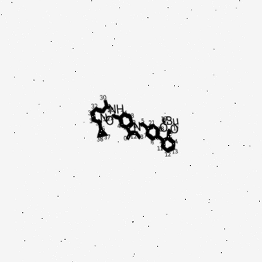 Cc1c(C)n(Cc2ccc(-c3ccccc3C(=O)OC(C)(C)C)cc2)c2ccc(C(=O)NC(C)c3cccc(C4CC4)n3)cc12